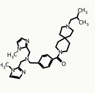 CC(C)CN1CCC2(CC1)CCN(C(=O)c1ccc(CN(Cc3nccn3C)Cc3nccn3C)cc1)CC2